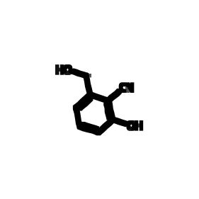 N#Cc1c(O)cccc1[CH]O